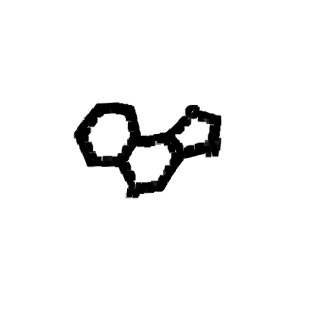 c1ccc2c(c1)ncc1ncoc12